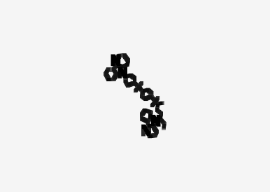 CCC(CCC(C)C(C)(C)c1ccc(C(C)(C)c2ccc(-n3c4c(c5ccccc53)N=CC=CC4)cc2)cc1)n1c2ccccc2c2ncccc21